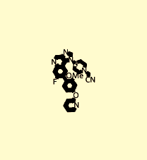 COc1cc(Oc2ccccn2)ccc1-c1cc2c(cc1F)ncc1ncn(N3CCN(CC#N)CC3)c12